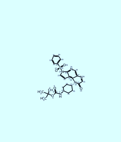 CC(C)(C)OC(=O)N[C@H]1CC[C@H](n2c(=O)cnc3cnc4c(ccn4S(=O)(=O)c4ccccc4)c32)CC1